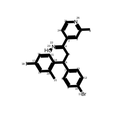 Cc1cc(/C(CC(c2ccc(Br)cc2)c2ccc(I)cc2C)=N/O)ccn1